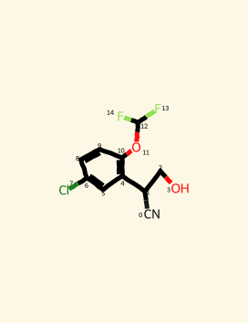 N#CC(CO)c1cc(Cl)ccc1OC(F)F